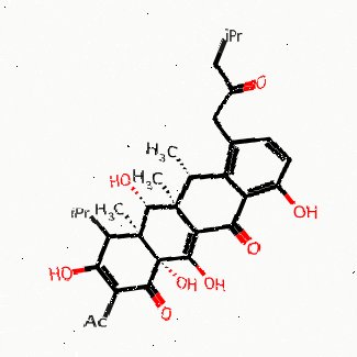 CC(=O)C1=C(O)C(C(C)C)[C@@]2(C)[C@H](O)[C@]3(C)C(=C(O)[C@@]2(O)C1=O)C(=O)c1c(O)ccc(CC(=O)CC(C)C)c1[C@H]3C